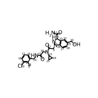 NC(=O)C1NN(CC(=O)N(CC(=O)NCc2cccc(Cl)c2F)C2CC2)c2ccc(CO)cc21